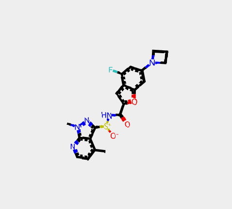 Cc1ccnc2c1c([S+]([O-])NC(=O)c1cc3c(F)cc(N4CCC4)cc3o1)nn2C